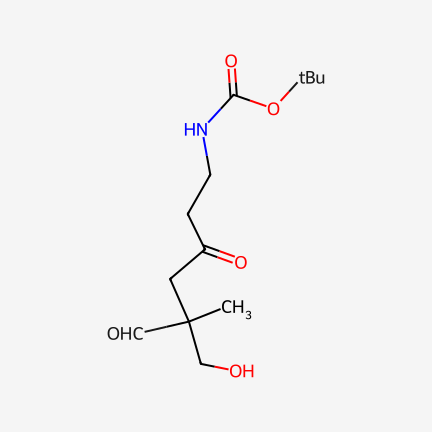 CC(C=O)(CO)CC(=O)CCNC(=O)OC(C)(C)C